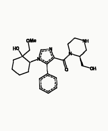 COCC1(O)CCCCC1n1cnc(C(=O)N2CCNC[C@H]2CO)c1-c1ccccc1